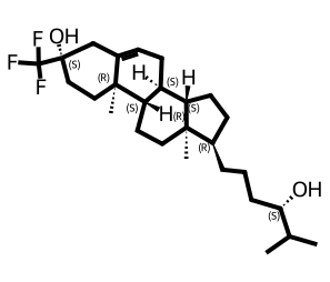 CC(C)[C@@H](O)CCC[C@@H]1CC[C@H]2[C@@H]3CC=C4C[C@](O)(C(F)(F)F)CC[C@]4(C)[C@H]3CC[C@]12C